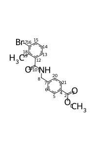 COC(=O)c1ccc(CNC(=O)c2cccc(Br)c2C)cc1